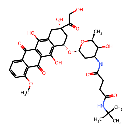 COc1cccc2c1C(=O)c1c(O)c3c(c(O)c1C2=O)C[C@@](O)(C(=O)CO)C[C@@H]3O[C@H]1C[C@H](NC(=O)CCC(=O)NC(C)(C)C)[C@H](O)[C@H](C)O1